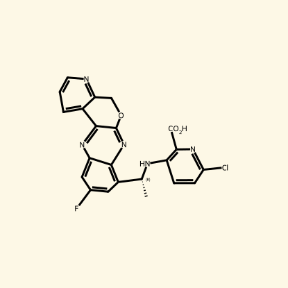 C[C@@H](Nc1ccc(Cl)nc1C(=O)O)c1cc(F)cc2nc3c(nc12)OCc1ncccc1-3